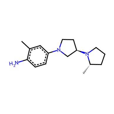 Cc1cc(N2CC[C@@H](N3CCC[C@@H]3C)C2)ccc1N